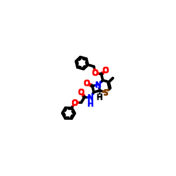 CC1=CS[C@H]2C(NC(=O)COc3ccccc3)C(=O)N2C1C(=O)OCc1ccccc1